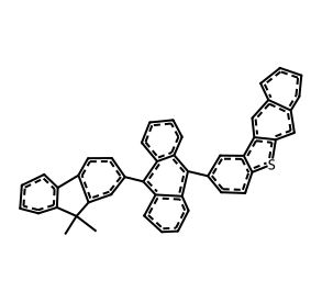 CC1(C)c2ccccc2-c2ccc(-c3c4ccccc4c(-c4ccc5sc6cc7ccccc7cc6c5c4)c4ccccc34)cc21